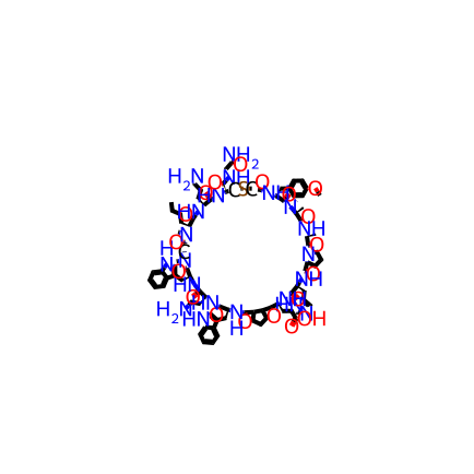 CCCC[C@H]1C(=O)N[C@@H](CCCN)C(=O)N[C@H](C(=O)NCC(N)=O)CSCC(=O)N[C@@H](Cc2ccc(OC)cc2)C(=O)N(C)[C@@H](C)C(=O)N[C@@H](C)C(=O)N2CCCC2C(=O)N[C@@H](Cc2cnc[nH]2)C(=O)N[C@@H](CCC(=O)O)C(=O)C2CCCC2C(=O)N[C@@H](Cc2c[nH]c3ccccc23)C(=O)N[C@@H](CCN)C(=O)N[C@@H](Cc2c[nH]c3ccccc23)C(=O)N(C)CC(=O)N1C